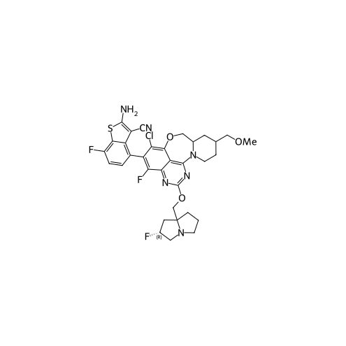 COCC1CCN2c3nc(OCC45CCCN4C[C@H](F)C5)nc4c(F)c(-c5ccc(F)c6sc(N)c(C#N)c56)c(Cl)c(c34)OCC2C1